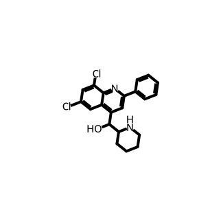 OC(c1cc(-c2ccccc2)nc2c(Cl)cc(Cl)cc12)C1CCCCN1